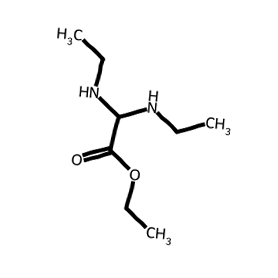 CCNC(NCC)C(=O)OCC